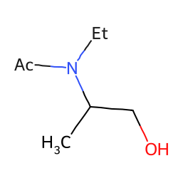 CCN(C(C)=O)C(C)CO